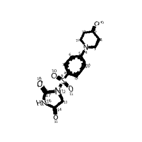 O=C1CCN(c2ccc(S(=O)(=O)N3CC(=O)NC3=O)cc2)CC1